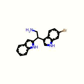 NCC(c1cc2ccccc2[nH]1)c1c[nH]c2cc(Br)ccc12